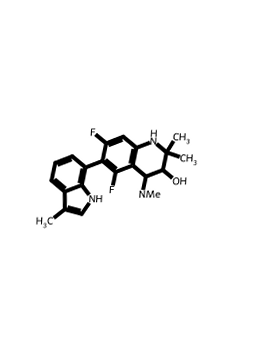 CNC1c2c(cc(F)c(-c3cccc4c(C)c[nH]c34)c2F)NC(C)(C)C1O